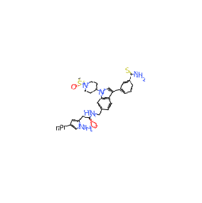 CCCc1c[nH]c(CC(=O)NCc2ccc3c(-c4cccc(C(N)=S)c4)cn(C4CCN([S+](C)[O-])CC4)c3c2)c1